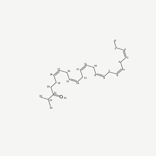 CC/C=C\C/C=C\C/C=C\C/C=C\C/C=C\C/C=C\CCC(=O)C(C)C